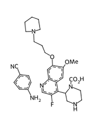 COc1cc2c(C3CNCCN3C(=O)O)c(F)cnc2cc1OCCCN1CCCCC1.N#Cc1ccc(N)cc1